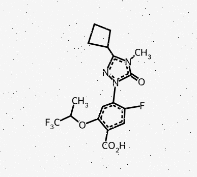 CC(Oc1cc(-n2nc(C3CCC3)n(C)c2=O)c(F)cc1C(=O)O)C(F)(F)F